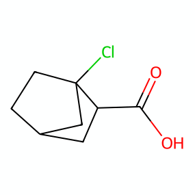 O=C(O)C1CC2CCC1(Cl)C2